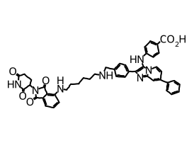 O=C1CCC(N2C(=O)c3cccc(NCCCCCCNCc4ccc(-c5nc6cc(-c7ccccc7)ccn6c5Nc5ccc(C(=O)O)cc5)cc4)c3C2=O)C(=O)N1